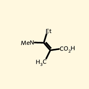 CC/C(NC)=C(/C)C(=O)O